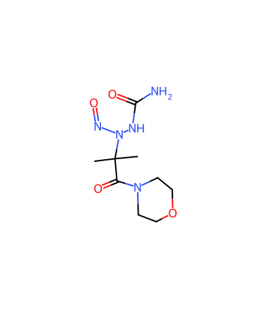 CC(C)(C(=O)N1CCOCC1)N(N=O)NC(N)=O